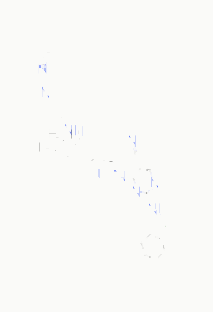 [C-]#[N+]CN1CCC(N[C@@H]2[C@@H]3CC4C[C@H]2C[C@@](CNc2nc(NCc5ccccc5Cl)ncc2C#N)(C4)C3)CC1